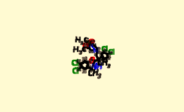 CC(NC(=O)C(C)(CCN1CCN(S(C)(=O)=O)C(C)C1)c1ccc(Cl)c(Cl)c1)c1ccc(Cl)c(Cl)c1